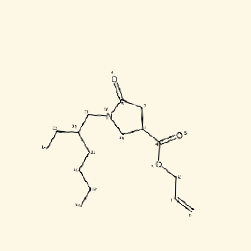 C=CCOC(=O)C1CC(=O)N(CC(CC)CCCC)C1